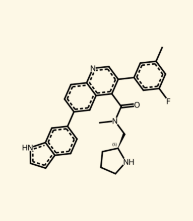 Cc1cc(F)cc(-c2cnc3ccc(-c4ccc5cc[nH]c5c4)cc3c2C(=O)N(C)C[C@@H]2CCCN2)c1